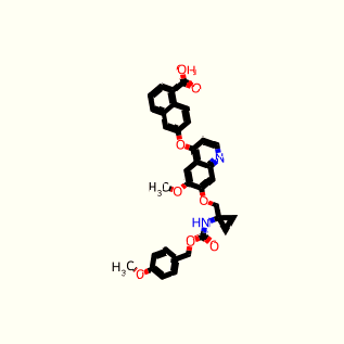 COc1ccc(COC(=O)NC2(COc3cc4nccc(Oc5ccc6c(C(=O)O)cccc6c5)c4cc3OC)CC2)cc1